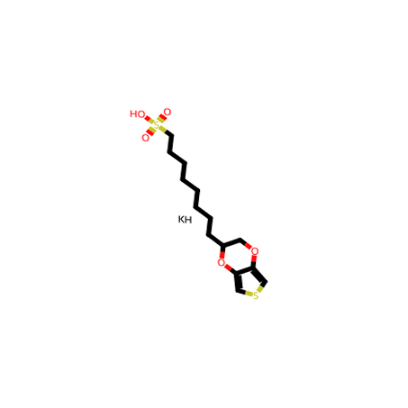 O=S(=O)(O)CCCCCCCCC1COc2cscc2O1.[KH]